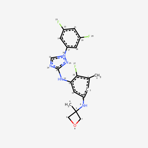 Cc1cc(NC2(C)COC2)cc(Nc2ncn(-c3cc(F)cc(F)c3)n2)c1F